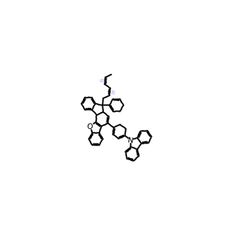 C/C=C\C=C/CC1(C2=CCCC=C2)c2ccccc2C2c3oc4ccccc4c3C(C3=CC=C(n4c5ccccc5c5ccccc54)CC3)=CC21